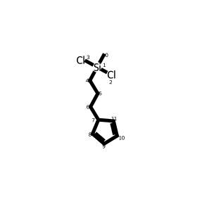 C[Si](Cl)(Cl)CCCC1C=CC=C1